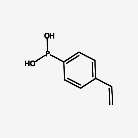 C=Cc1ccc(P(O)O)cc1